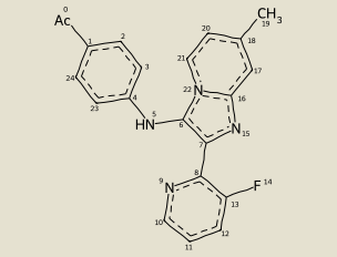 CC(=O)c1ccc(Nc2c(-c3ncccc3F)nc3cc(C)ccn23)cc1